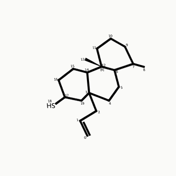 C=CCC12CCC3C(C)CCC[C@@]3(C)C1CCC(S)C2